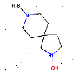 BN1CCC2(CC1)CCN(O)C2